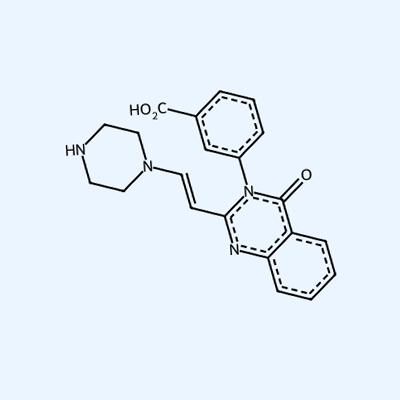 O=C(O)c1cccc(-n2c(/C=C/N3CCNCC3)nc3ccccc3c2=O)c1